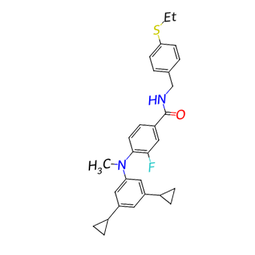 CCSc1ccc(CNC(=O)c2ccc(N(C)c3cc(C4CC4)cc(C4CC4)c3)c(F)c2)cc1